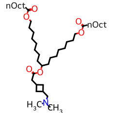 CCCCCCCCC(=O)OCCCCCCCCC(CCCCCCCCOC(=O)CCCCCCCC)OC(=O)CC1CC(CN(C)C)C1